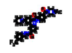 CC(=O)N1CCN(C(=O)c2cccc(C(=O)Nc3ccc(N4CCCCC4)cc3-c3cc(C(=O)NCc4cccc(C(F)(F)F)c4)ccn3)c2)CC1